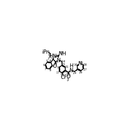 CC(C)CC[C@]1(c2ccccc2)NC(=N)N(Cc2ccc(C(F)(F)F)c(C(=O)NCc3cccnc3)c2)C1=O